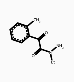 CCN(N)C(=O)C(=O)c1ccccc1C